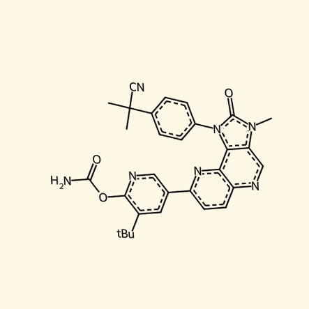 Cn1c(=O)n(-c2ccc(C(C)(C)C#N)cc2)c2c3nc(-c4cnc(OC(N)=O)c(C(C)(C)C)c4)ccc3ncc21